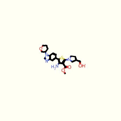 COC(=O)c1c(N2CCC(CO)C2)sc(-c2ccc3c(c2)ncn3C2CCCOC2)c1N